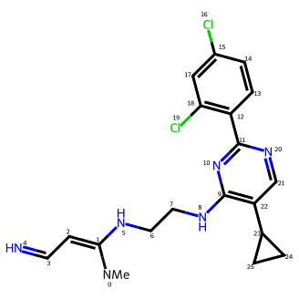 CN/C(=C\C=N)NCCNc1nc(-c2ccc(Cl)cc2Cl)ncc1C1CC1